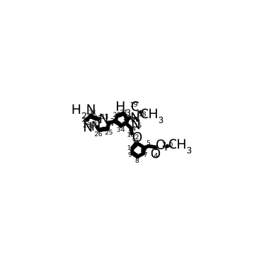 CCOC(=O)Cc1ccccc1OCc1nn(C(C)C)c2ccc(-c3ccn4ncc(N)c4n3)cc12